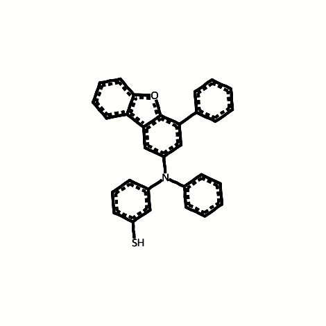 Sc1cccc(N(c2ccccc2)c2cc(-c3ccccc3)c3oc4ccccc4c3c2)c1